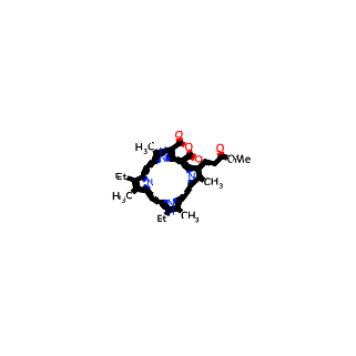 CCC1=C(C)c2cc3[nH]c(cc4nc(c5c6[nH]c(cc1n2)c(C)c6C(=O)OC5=O)C(CCC(=O)OC)C4C)c(C)c3CC